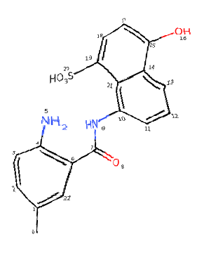 Cc1ccc(N)c(C(=O)Nc2cccc3c(O)ccc(S(=O)(=O)O)c23)c1